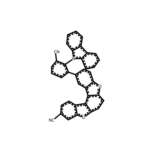 N#Cc1ccc2c(c1)oc1ccc3oc4ccc(-c5cccc(C#N)c5-n5c6ccccc6c6ccccc65)cc4c3c12